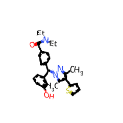 CCN(CC)C(=O)c1ccc(C(c2cccc(O)c2)n2nc(C)c(-c3cccs3)c2C)cc1